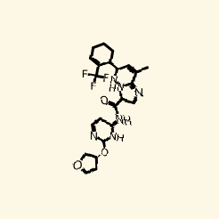 CC1=CC(C2CCCC=C2C(F)(F)F)NN2C1=NCC2C(=O)NC1CC=NC(O[C@@H]2CCOC2)N1